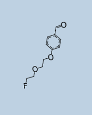 O=Cc1ccc(OCCOCCF)cc1